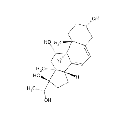 C[C@@H](O)[C@@]1(O)CC[C@H]2C3=CC=C4C[C@@H](O)CC[C@@]4(C)[C@@H]3[C@@H](O)C[C@@]21C